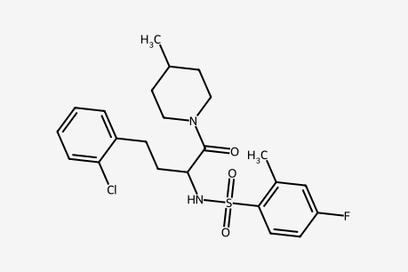 Cc1cc(F)ccc1S(=O)(=O)NC(CCc1ccccc1Cl)C(=O)N1CCC(C)CC1